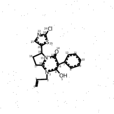 C=CCn1c(O)c(-c2ccccc2)c(=O)[n+]2c1CCC2c1cnc(Cl)s1